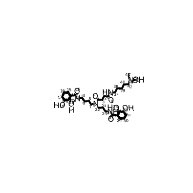 O=C(CCC(=O)N(CCCCNC(=O)c1cccc(O)c1O)CCCNC(=O)c1cccc(O)c1O)NCCCCCN(O)I